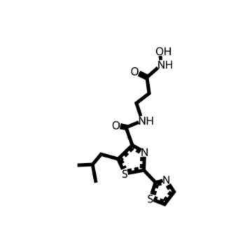 CC(C)Cc1sc(-c2nccs2)nc1C(=O)NCCC(=O)NO